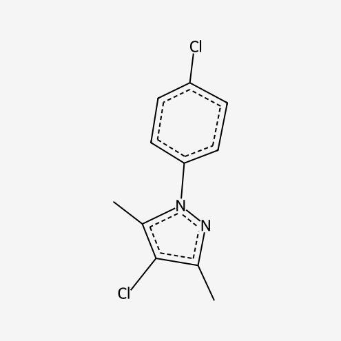 Cc1nn(-c2ccc(Cl)cc2)c(C)c1Cl